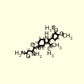 COc1ccc(-c2[nH]c3ccc(NC(=O)[C@H](N)CC(N)=O)cc3c2C(C)C)cc1OC